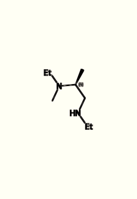 CCNC[C@H](C)N(C)CC